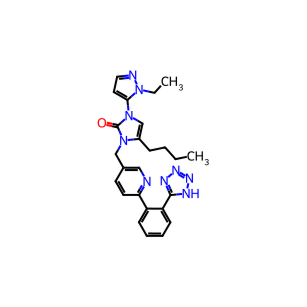 CCCCc1cn(-c2ccnn2CC)c(=O)n1Cc1ccc(-c2ccccc2-c2nnn[nH]2)nc1